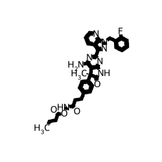 CCCC(=O)ONC(=O)CCc1ccc([C@]2(C)C(=O)Nc3nc(-c4nn(Cc5ccccc5F)c5ncccc45)nc(N)c32)cc1